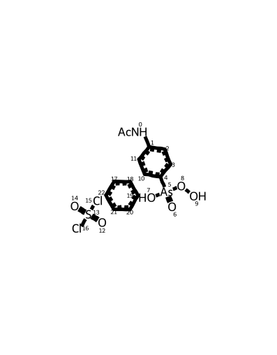 CC(=O)Nc1ccc([As](=O)(O)OO)cc1.O=S(=O)(Cl)Cl.c1ccccc1